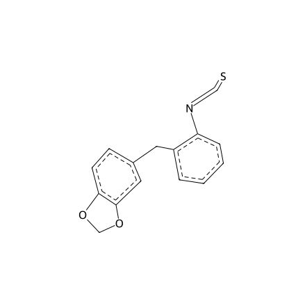 S=C=Nc1ccccc1Cc1ccc2c(c1)OCO2